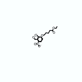 CCOC(=O)CCCCOc1ccc([N+](=O)[O-])c(C=O)c1Cl